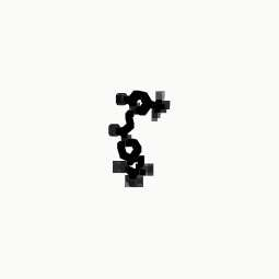 N=C1NCC2(CCN(C(=O)CCn3cc(C(F)(F)F)ccc3=O)CC2)N1